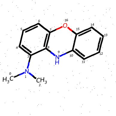 CN(C)c1cccc2c1Nc1ccccc1O2